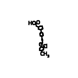 Cc1ccc(OCC#Cc2ccc(-c3cccc(CC(=O)O)c3)cc2)c(Cl)c1